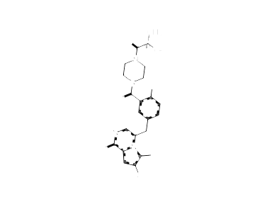 C[C@@H](O)C(=O)N1CCN(C(=O)c2cc(Cc3c[nH]c(=O)c4cc(Cl)c(Cl)n34)ccc2F)CC1